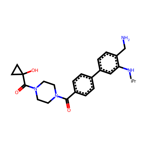 CC(C)Nc1cc(-c2ccc(C(=O)N3CCN(C(=O)C4(O)CC4)CC3)cc2)ccc1CN